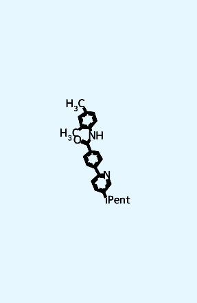 CCCC(C)c1ccc(-c2ccc(C(=O)Nc3ccc(C)cc3C)cc2)nc1